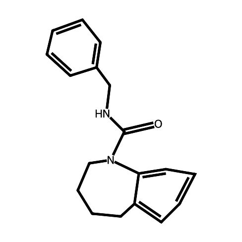 O=C(NCc1ccccc1)N1CCCCc2ccccc21